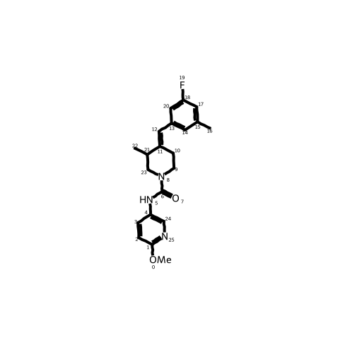 COc1ccc(NC(=O)N2CCC(=Cc3cc(C)cc(F)c3)C(C)C2)cn1